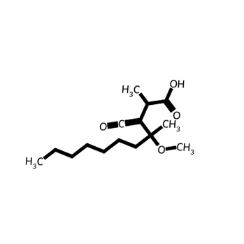 CCCCCCCC(C)(OC)C(=C=O)C(C)C(=O)O